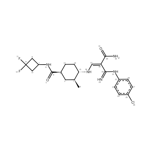 C[C@H]1C[C@@H](C(=O)NC2CC(F)(F)C2)CC[C@@H]1N/C=C(\C(=N)Nc1ccc(Cl)cc1)C(N)=O